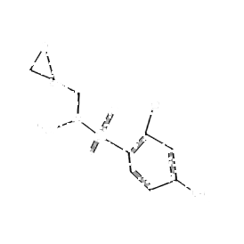 Cc1ccc(S(=O)(=O)N(C)C[C@H]2CO2)c(Cl)c1